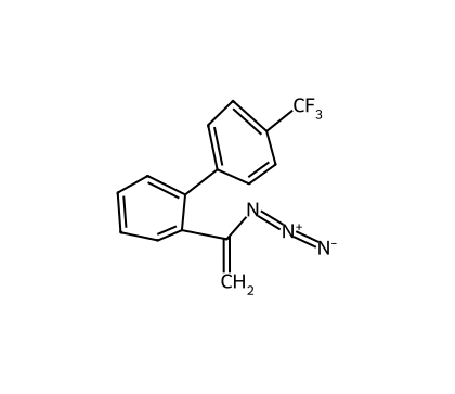 C=C(N=[N+]=[N-])c1ccccc1-c1ccc(C(F)(F)F)cc1